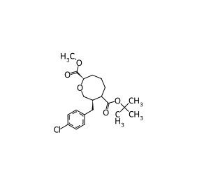 COC(=O)[C@H]1CCCC(C(=O)OC(C)(C)C)[C@@H](Cc2ccc(Cl)cc2)CO1